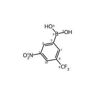 O=[N+]([O-])c1cc(B(O)O)cc(C(F)(F)F)c1